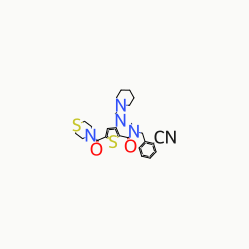 CN(Cc1ccccc1C#N)C(=O)c1sc(C(=O)N2CCSCC2)cc1/N=C/N1CCCCC1